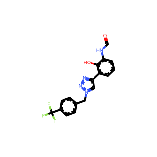 O=CNc1cccc(-c2cn(Cc3ccc(C(F)(F)F)cc3)nn2)c1O